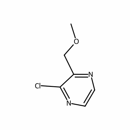 COCc1nccnc1Cl